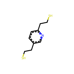 SCCc1ccc(CCS)nc1